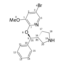 COc1cc(Br)cnc1O[C@H](c1ccccc1)[C@@H]1CCNC1